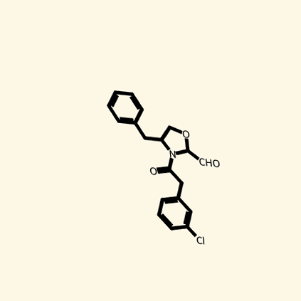 O=CC1OCC(Cc2ccccc2)N1C(=O)Cc1cccc(Cl)c1